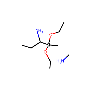 CCO[Si](C)(OCC)C(N)CC.CN